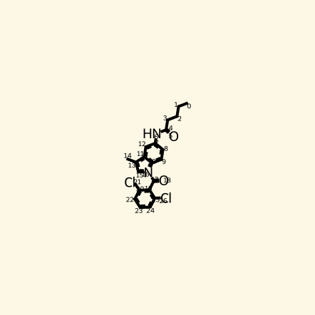 CCCCC(=O)Nc1ccc2c(c1)c(C)cn2C(=O)c1c(Cl)cccc1Cl